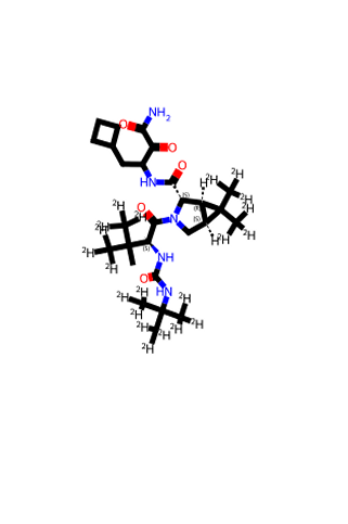 [2H]C([2H])([2H])C(C)([C@H](NC(=O)NC(C([2H])([2H])[2H])(C([2H])([2H])[2H])C([2H])([2H])[2H])C(=O)N1C[C@H]2[C@@H]([C@H]1C(=O)NC(CC1CCC1)C(=O)C(N)=O)C2(C([2H])([2H])[2H])C([2H])([2H])[2H])C([2H])([2H])[2H]